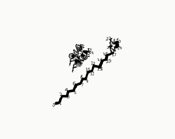 CCCCCCCCCCCCCCCCCCn1cc[n+](C)c1.O=S(=O)([N-]S(=O)(=O)C(F)(F)F)C(F)(F)F